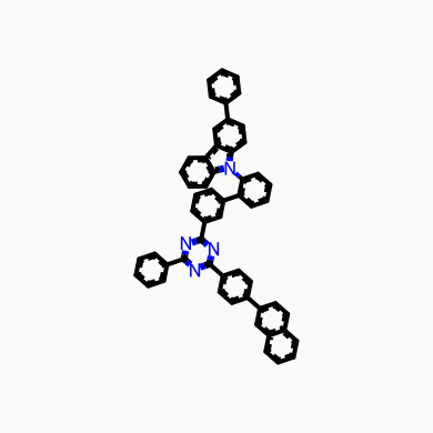 c1ccc(-c2ccc3c(c2)c2ccccc2n3-c2ccccc2-c2cccc(-c3nc(-c4ccccc4)nc(-c4ccc(-c5ccc6ccccc6c5)cc4)n3)c2)cc1